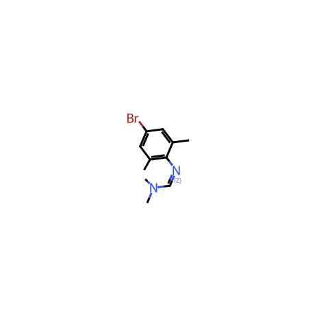 Cc1cc(Br)cc(C)c1/N=C\N(C)C